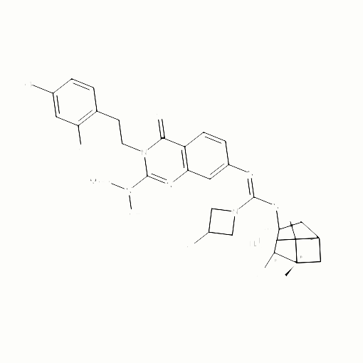 CON(C)c1nc2cc(N=C(N[C@H]3C[C@H]4C[C@H]([C@H]3C)C4(C)C)N3CC(O)C3)ccc2c(=O)n1CCc1ccc(Cl)cc1Cl